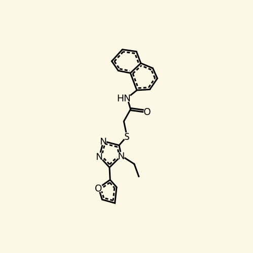 CCn1c(SCC(=O)Nc2cccc3ccccc23)nnc1-c1ccco1